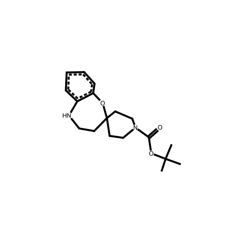 CC(C)(C)OC(=O)N1CCC2(CCNc3ccccc3O2)CC1